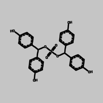 O=S(=O)(OC(c1ccc(O)cc1)c1ccc(O)cc1)OC(c1ccc(O)cc1)c1ccc(O)cc1